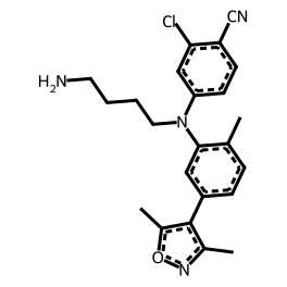 Cc1ccc(-c2c(C)noc2C)cc1N(CCCCN)c1ccc(C#N)c(Cl)c1